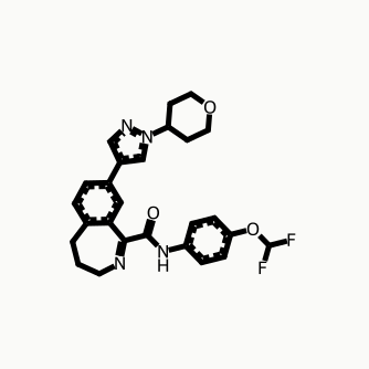 O=C(Nc1ccc(OC(F)F)cc1)C1=NCCCc2ccc(-c3cnn(C4CCOCC4)c3)cc21